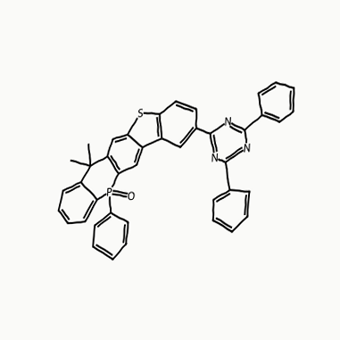 CC1(C)c2ccccc2P(=O)(c2ccccc2)c2cc3c(cc21)sc1ccc(-c2nc(-c4ccccc4)nc(-c4ccccc4)n2)cc13